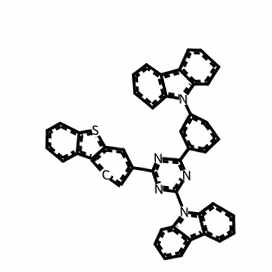 c1cc(-c2nc(-c3ccc4c(c3)sc3ccccc34)nc(-n3c4ccccc4c4ccccc43)n2)cc(-n2c3ccccc3c3ccccc32)c1